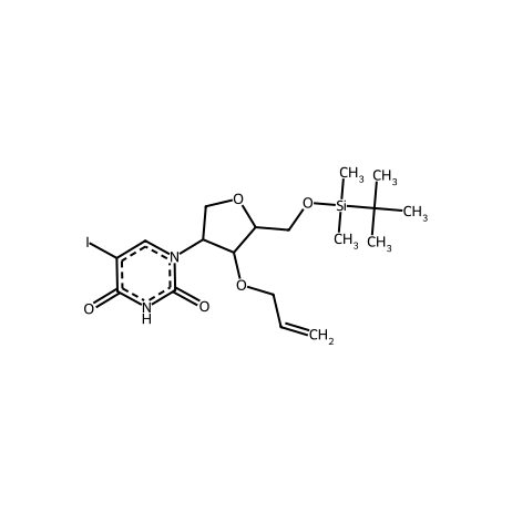 C=CCOC1C(CO[Si](C)(C)C(C)(C)C)OCC1n1cc(I)c(=O)[nH]c1=O